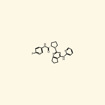 O=C(Nc1ccc(F)nc1)[C@@H]1CCCN1c1nc2c(c(Nc3ccccn3)n1)CCC2